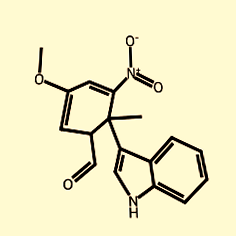 COC1=CC(C=O)C(C)(c2c[nH]c3ccccc23)C([N+](=O)[O-])=C1